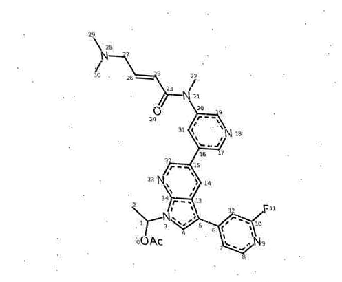 CC(=O)OC(C)n1cc(-c2ccnc(F)c2)c2cc(-c3cncc(N(C)C(=O)C=CCN(C)C)c3)cnc21